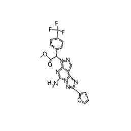 COC(=O)C(c1ccc(C(F)(F)F)cc1)n1ncc2c1nc(N)n1nc(-c3ccco3)nc21